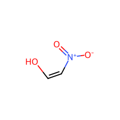 O=[N+]([O-])/C=C\O